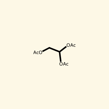 CC(=O)OCC(OC(C)=O)OC(C)=O